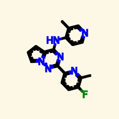 Cc1cnccc1Nc1nc(-c2ccc(F)c(C)n2)nn2cccc12